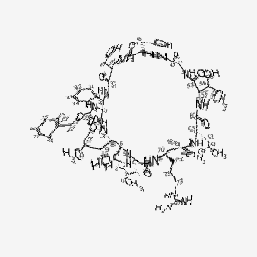 CC(C)C[C@@H]1NC(=O)[C@H]([C@H](O)C(C)C)NC(=O)[C@@H](NC(=O)OCc2ccccc2)[C@@H](c2ccccc2)NC(=O)C(CO)NC(=O)[C@H](CO)NC(=O)CNC(=O)[C@H]([C@H](C)O)NC(=O)[C@H](CC(C)C)NC(=O)[C@@H](CCCNC(=N)N)NC1=O